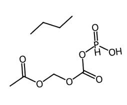 CC(=O)OCOC(=O)O[PH](=O)O.CCCC